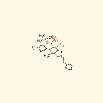 Cc1ccc(-c2c(C)c3c(c(C)c2C(OC(C)(C)C)C(=O)O)CN(CCc2ccccc2)C3)cc1